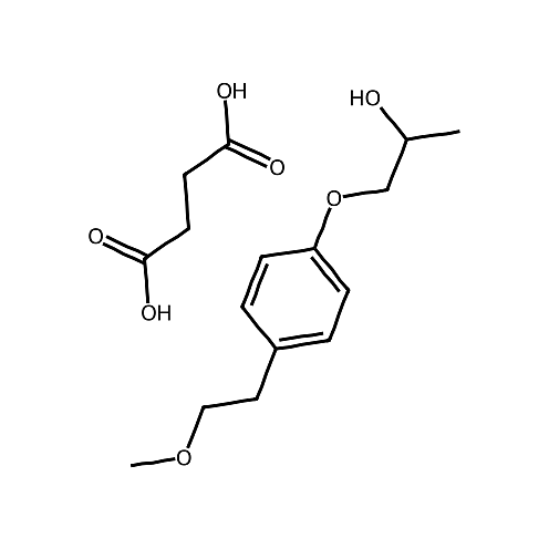 COCCc1ccc(OCC(C)O)cc1.O=C(O)CCC(=O)O